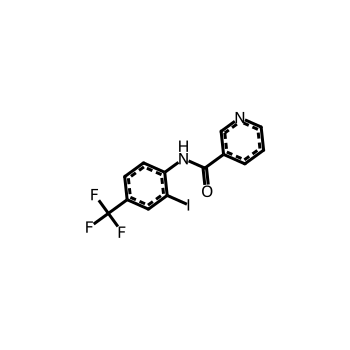 O=C(Nc1ccc(C(F)(F)F)cc1I)c1cccnc1